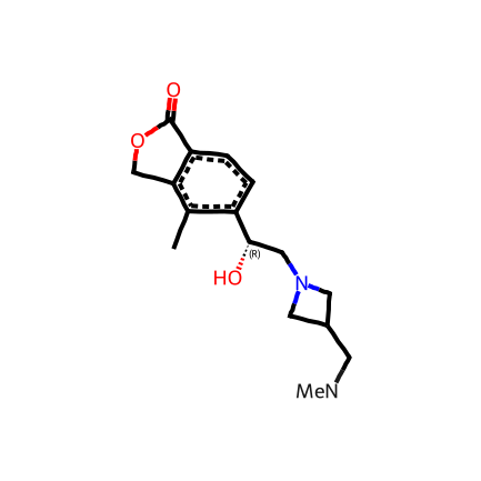 CNCC1CN(C[C@H](O)c2ccc3c(c2C)COC3=O)C1